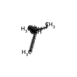 CCC/C=C\CCCCCCCC/C=C/[C@@H](O)[C@H](COP(=O)([O-])OCC[N+](C)(C)C)NC(=O)CCCCCCCCCCCCCCCCCCCCCC